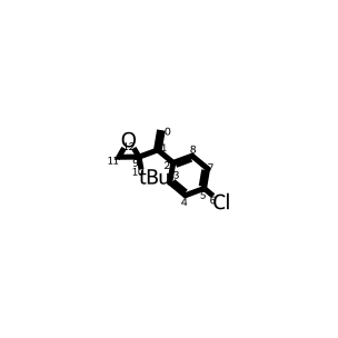 C=C(c1ccc(Cl)cc1)C1(C(C)(C)C)CO1